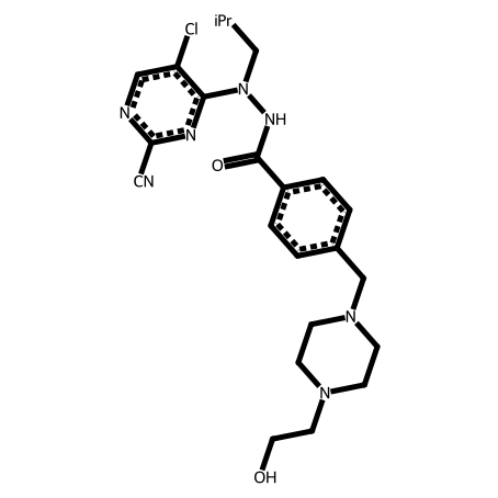 CC(C)CN(NC(=O)c1ccc(CN2CCN(CCO)CC2)cc1)c1nc(C#N)ncc1Cl